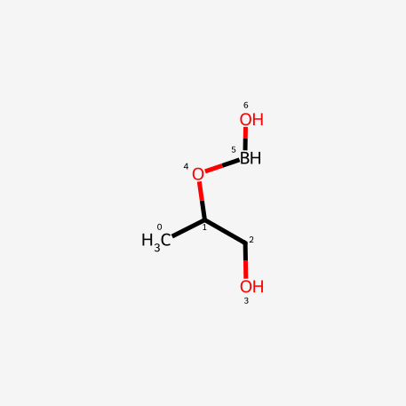 CC(CO)OBO